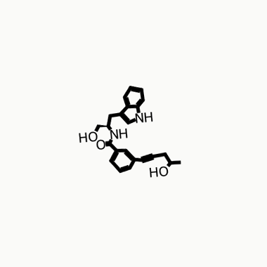 CC(O)CC#Cc1cccc(C(=O)N[C@@H](CO)Cc2c[nH]c3ccccc23)c1